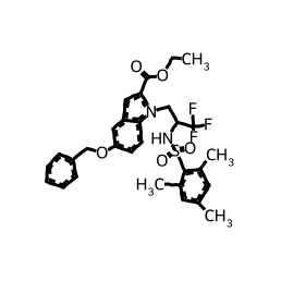 CCOC(=O)c1cc2cc(OCc3ccccc3)ccc2n1CC(NS(=O)(=O)c1c(C)cc(C)cc1C)C(F)(F)F